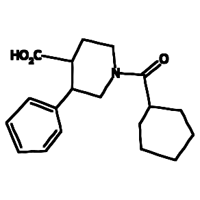 O=C(O)C1CCN(C(=O)C2CCCCC2)CC1c1ccccc1